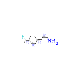 CC(/C=C\C(C)=C(/C)F)=C\C=C/N